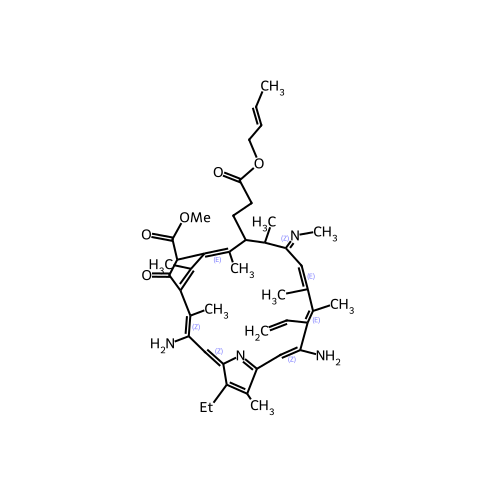 C=CC1=C(C)\C(C)=C\C(=N/C)C(C)C(CCC(=O)OCC=CC)/C(C)=C2C(C)=C(C(=O)C/2C(=O)OC)/C(C)=C(N)/C=C2N=C(\C=C\1N)C(C)=C\2CC